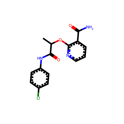 CC(Oc1ncccc1C(N)=O)C(=O)Nc1ccc(Cl)cc1